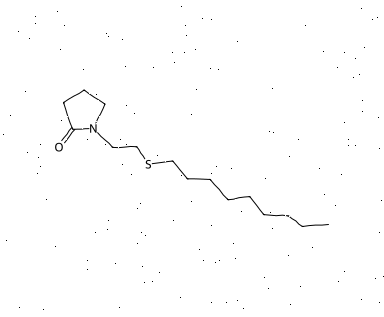 CCCCCCCCCSCCN1CCCC1=O